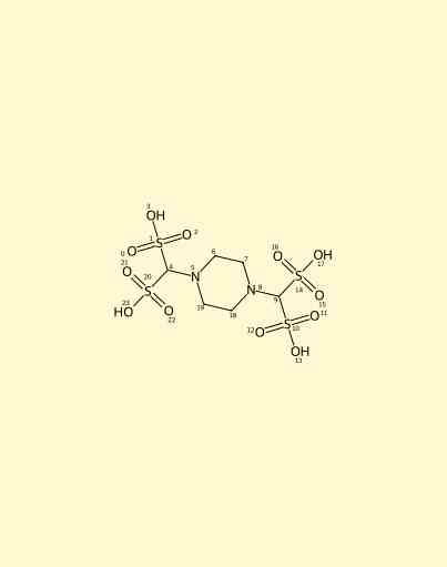 O=S(=O)(O)C(N1CCN(C(S(=O)(=O)O)S(=O)(=O)O)CC1)S(=O)(=O)O